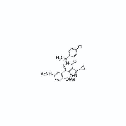 COc1ccc(NC(C)=O)cc1-c1nn([C@@H](C)c2ccc(Cl)cc2)c(=O)c2c(C3CC3)noc12